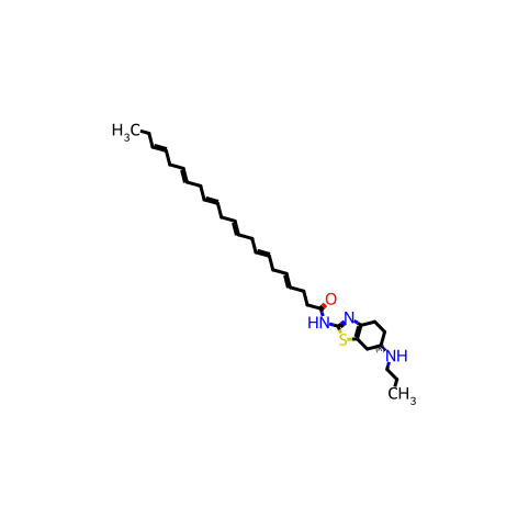 CCC=CCC=CCC=CCC=CCC=CCC=CCCC(=O)Nc1nc2c(s1)C[C@H](NCCC)CC2